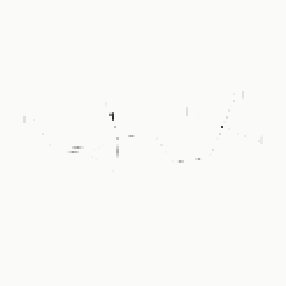 C/C=C1/C[C@@]1(C)CC[C@@H](C)C(C)(N)O